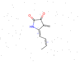 C=C1C(=O)C(=O)N/C1=C/C=C\C